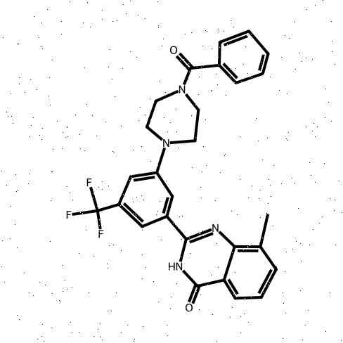 Cc1cccc2c(=O)[nH]c(-c3cc(N4CCN(C(=O)c5ccccc5)CC4)cc(C(F)(F)F)c3)nc12